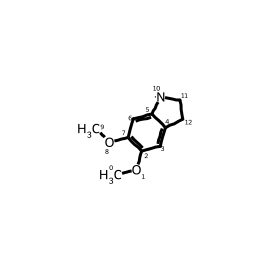 COc1cc2c(cc1OC)[N]CC2